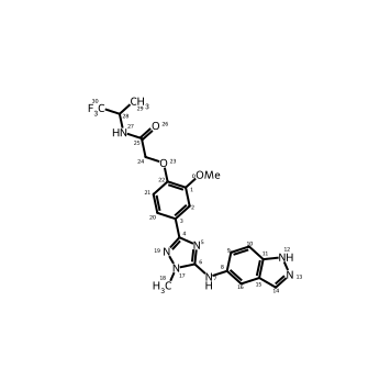 COc1cc(-c2nc(Nc3ccc4[nH]ncc4c3)n(C)n2)ccc1OCC(=O)NC(C)C(F)(F)F